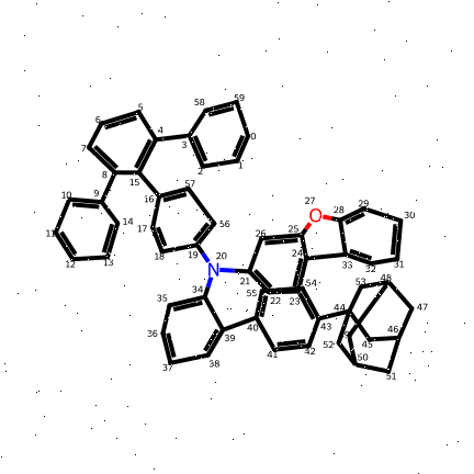 c1ccc(-c2cccc(-c3ccccc3)c2-c2ccc(N(c3ccc4c(c3)oc3ccccc34)c3ccccc3-c3ccc(C45CC6CC(CC(C6)C4)C5)cc3)cc2)cc1